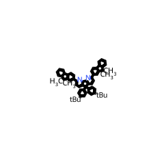 CC(C)(C)c1ccc(C2(c3ccc(C(C)(C)C)cc3)c3ccc(-c4ccc5c(c4)C(C)(C)c4ccccc4-5)nc3-c3nc(-c4ccc5c(c4)C(C)(C)C4C=CC=CC54)ccc32)cc1